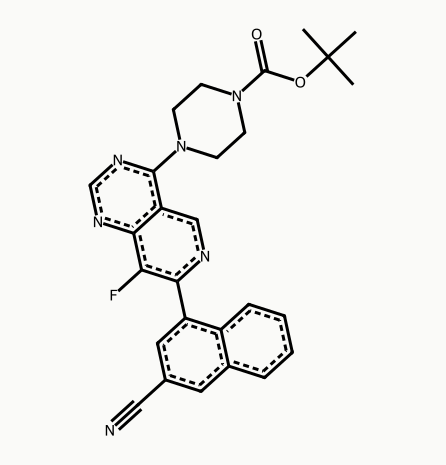 CC(C)(C)OC(=O)N1CCN(c2ncnc3c(F)c(-c4cc(C#N)cc5ccccc45)ncc23)CC1